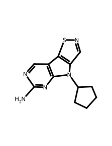 Nc1ncc2c3sncc3n(C3CCCC3)c2n1